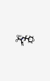 CC(C)(/C=C(\C#N)C(=O)O)C1CCOCC1